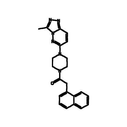 Cc1nnc2ccc(N3CCN(C(=O)Cc4cccc5ccccc45)CC3)nn12